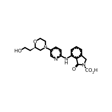 O=C(O)N1Cc2cccc(Nc3ccc(N4CCO[C@H](CCO)C4)cn3)c2C1=O